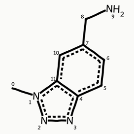 Cn1nnc2ccc(CN)cc21